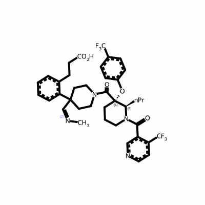 CCC[C@H]1N(C(=O)c2cnccc2C(F)(F)F)CCC[C@@]1(Oc1ccc(C(F)(F)F)cc1)C(=O)N1CCC(/C=N\C)(c2ccccc2CCC(=O)O)CC1